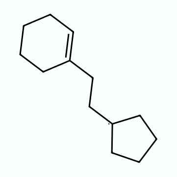 C1=C(CC[C]2CCCC2)CCCC1